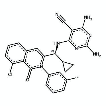 N#Cc1c(N)nc(N)nc1N[C@H](c1cc2cccc(Cl)c2c(=O)n1-c1cccc(F)c1)C1CC1